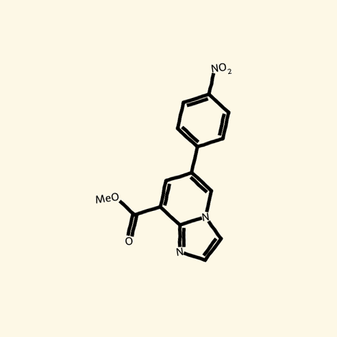 COC(=O)c1cc(-c2ccc([N+](=O)[O-])cc2)cn2ccnc12